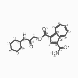 NC(=O)c1cc(C(=O)OCC(=O)NC2CCCCC2)c2cccccc1-2